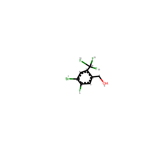 OCc1cc(F)c(Br)cc1C(F)(F)F